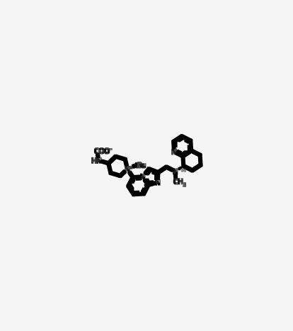 CN(Cc1cn2c([N+]3(C(C)(C)C)CCC(NC(=O)[O-])CC3)cccc2n1)[C@H]1CCCc2cccnc21